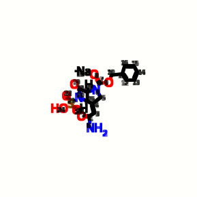 NC(=O)C=C1CN(C(=O)OCc2ccccc2)[C@@H]2C(=O)N(S(=O)(=O)O)[C@H]12.[Na]